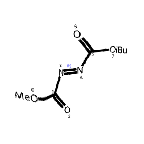 COC(=O)/N=N/C(=O)OCC(C)C